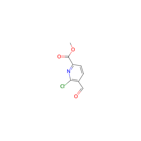 COC(=O)c1ccc(C=O)c(Cl)n1